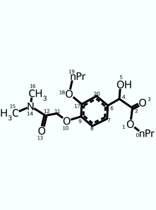 CCCOC(=O)C(O)c1ccc(OCC(=O)N(C)C)c(OCCC)c1